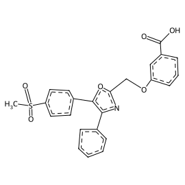 CS(=O)(=O)c1ccc(-c2oc(COc3cccc(C(=O)O)c3)nc2-c2ccccc2)cc1